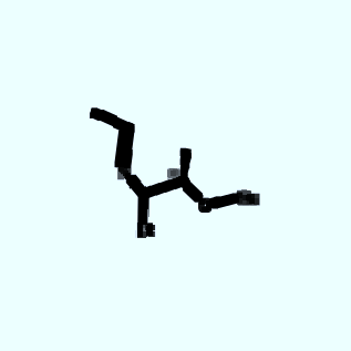 CC=NC(CC)[C@@H](C)OC(C)(C)C